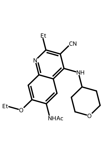 CCOc1cc2nc(CC)c(C#N)c(NC3CCOCC3)c2cc1NC(C)=O